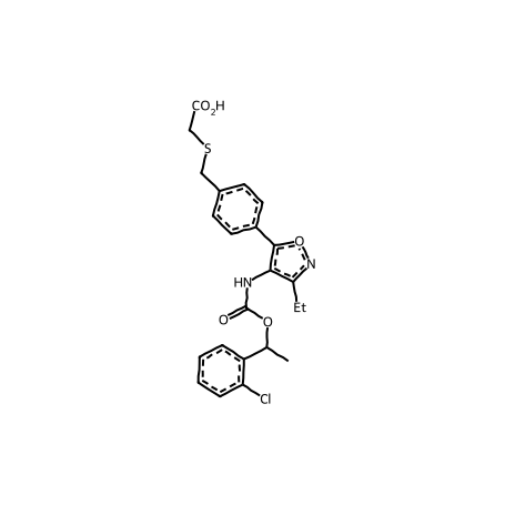 CCc1noc(-c2ccc(CSCC(=O)O)cc2)c1NC(=O)OC(C)c1ccccc1Cl